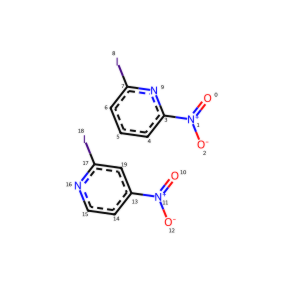 O=[N+]([O-])c1cccc(I)n1.O=[N+]([O-])c1ccnc(I)c1